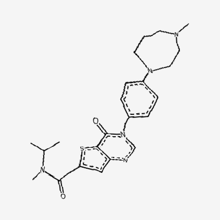 CC(C)N(C)C(=O)c1cc2ncn(-c3ccc(N4CCCN(C)CC4)cc3)c(=O)c2s1